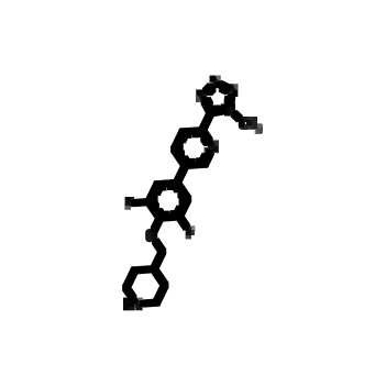 Cn1nnnc1-c1ccc(-c2cc(F)c(OCC3CCNCC3)c(F)c2)cn1